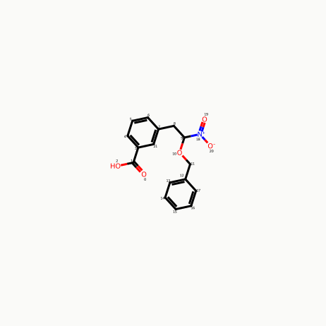 O=C(O)c1cccc(CC(OCc2ccccc2)[N+](=O)[O-])c1